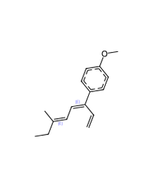 C=C/C(=C\C=C(/C)CC)c1ccc(OC)cc1